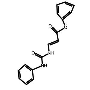 O=C(NC=CC(=O)Oc1ccccc1)Nc1ccccc1